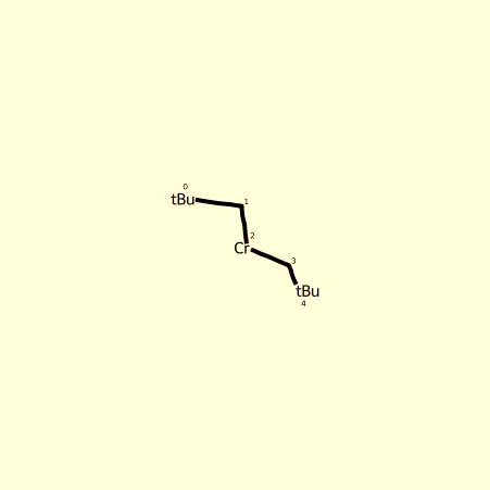 CC(C)(C)[CH2][Cr][CH2]C(C)(C)C